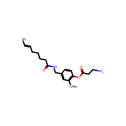 COc1cc(CNC(=O)CCCC/C=C/C(C)C)ccc1OC(=O)CCN